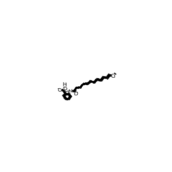 COCCCCCCCCCCCC(=O)Nc1ccccc1C(=O)O